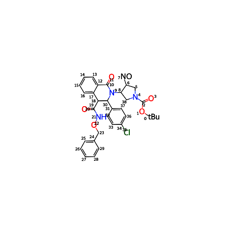 CC(C)(C)OC(=O)N1CC(N=O)C(N2C(=O)c3ccccc3C(C(=O)NOCc3ccccc3)C2c2ccc(Cl)cc2)C1